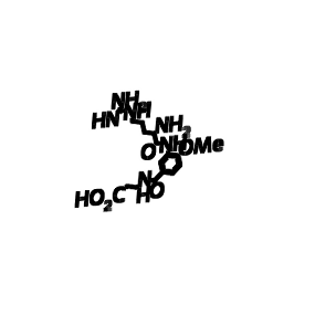 COc1ccc(C(=O)NCCC(=O)O)cc1NC(=O)[C@@H](N)CCCNC(=N)N